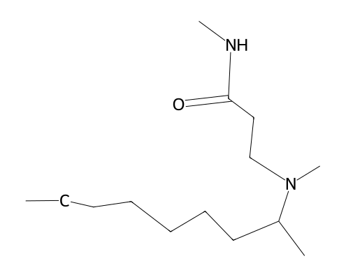 CCCCCCCC(C)N(C)CCC(=O)NC